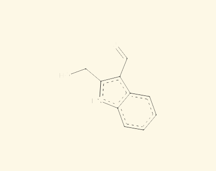 O=Cc1c(CO)[nH]c2ccccc12